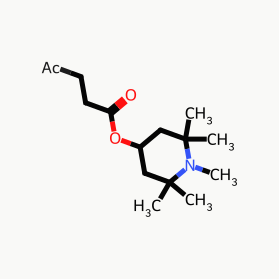 CC(=O)CCC(=O)OC1CC(C)(C)N(C)C(C)(C)C1